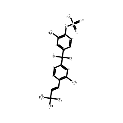 CCC(CC)(c1ccc(C=CC(O)(C(F)(F)F)C(F)(F)F)c(C)c1)c1ccc(OS(=O)(=O)C(F)(F)F)c(C)c1